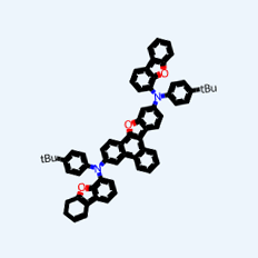 CC(C)(C)c1ccc(N(c2ccc3c(c2)c2ccccc2c2c4ccc(N(c5ccc(C(C)(C)C)cc5)c5cccc6c5oc5ccccc56)cc4oc32)c2cccc3c4c(oc23)CCC=C4)cc1